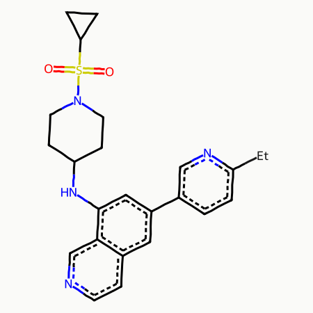 CCc1ccc(-c2cc(NC3CCN(S(=O)(=O)C4CC4)CC3)c3cnccc3c2)cn1